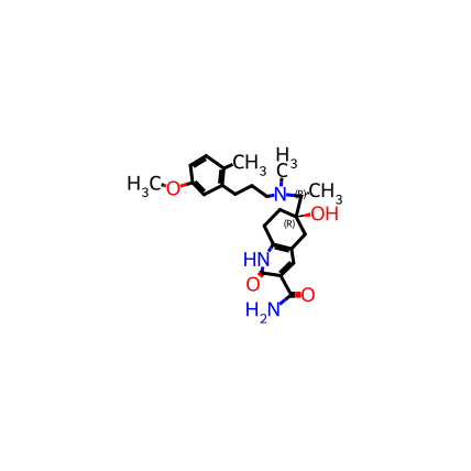 COc1ccc(C)c(CCCN(C)[C@H](C)[C@@]2(O)CCc3[nH]c(=O)c(C(N)=O)cc3C2)c1